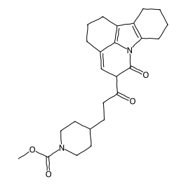 COC(=O)N1CCC(CCC(=O)C2C=C3CCCc4c5c(n(c43)C2=O)CCCC5)CC1